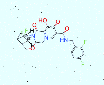 O=C(NCc1ccc(F)cc1F)c1cn2c(c(O)c1=O)C(=O)N1C(C2)OCC2C3C[C@H]1[C@H]2C3(F)F